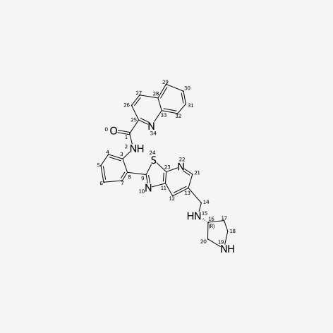 O=C(Nc1ccccc1-c1nc2cc(CN[C@@H]3CCNC3)cnc2s1)c1ccc2ccccc2n1